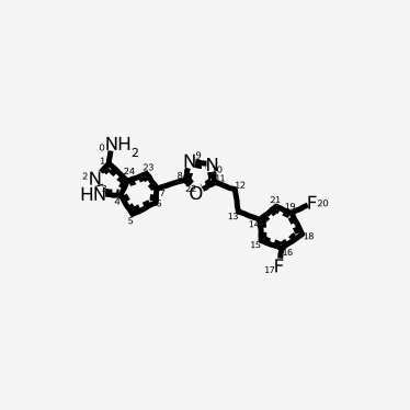 Nc1n[nH]c2ccc(-c3nnc(CCc4cc(F)cc(F)c4)o3)cc12